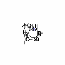 C=C1/N=C2\Nc3ccc(C(=C)N(C)CCN4CCN(c5cc(F)cc(F)c5)CC4)cc3N2CCCCCCc2c(cnn2C)-c2cc1cc(C)n2